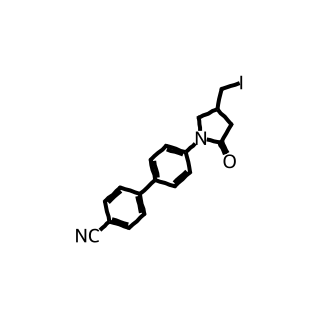 N#Cc1ccc(-c2ccc(N3CC(CI)CC3=O)cc2)cc1